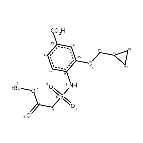 CC(C)(C)OC(=O)CS(=O)(=O)Nc1ccc(C(=O)O)cc1OCC1CC1